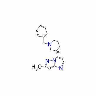 Cc1cc2nccc([C@H]3CCCN(Cc4ccccc4)C3)n2n1